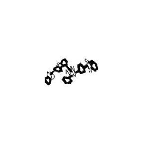 c1ccc(-c2nc(-c3ccc(-c4nc5ccccc5s4)cc3)nc(-c3cccc4sc5cc(-c6nc7ccccc7o6)ccc5c34)n2)cc1